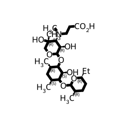 CC[C@@H]1CC[C@@H](C)C(OC2[C@H](O)C(OC3OC[C@](C)(O)[C@H](N(C)CCC(=O)O)[C@H]3O)[C@H](C)C[C@@H]2C)O1